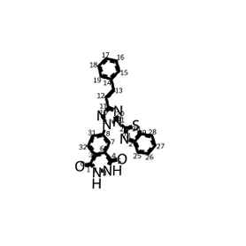 O=c1[nH][nH]c(=O)c2cc(-[n+]3nc(/C=C/c4ccccc4)nn3-c3nc4ccccc4s3)ccc12